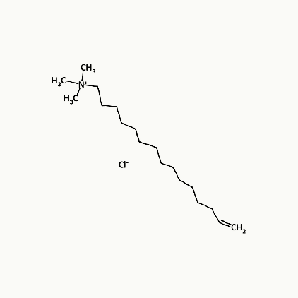 C=CCCCCCCCCCCCCC[N+](C)(C)C.[Cl-]